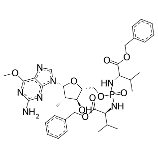 COc1nc(N)nc2c1ncn2[C@@H]1O[C@H](COP(=O)(N[C@H](C(=O)OCc2ccccc2)C(C)C)N[C@H](C(=O)OCc2ccccc2)C(C)C)[C@@H](O)[C@@H]1C